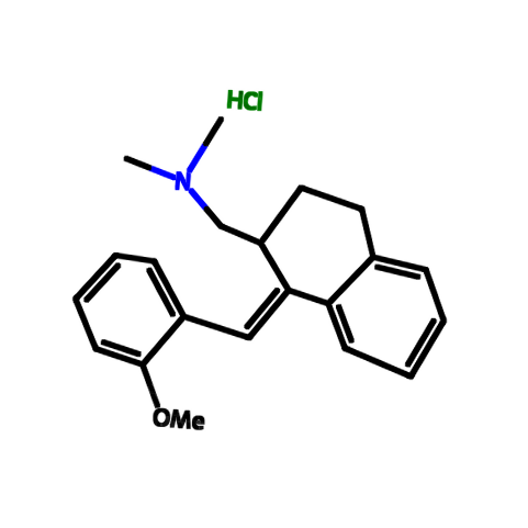 COc1ccccc1C=C1c2ccccc2CCC1CN(C)C.Cl